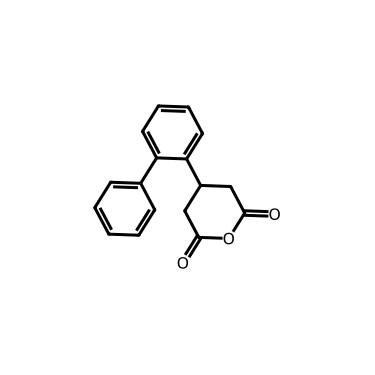 O=C1CC(c2ccccc2-c2ccccc2)CC(=O)O1